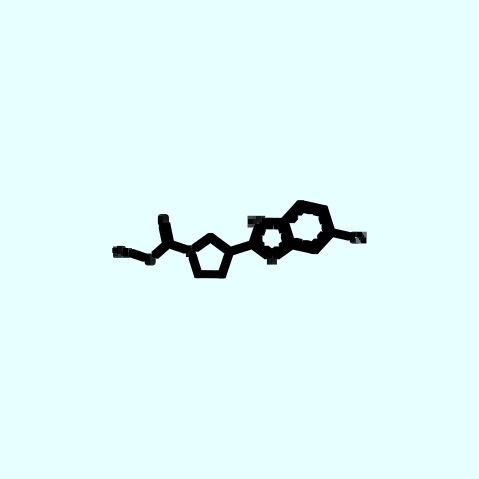 CC(C)(C)OC(=O)N1CCC(c2nc3cc(C#N)ccc3[nH]2)C1